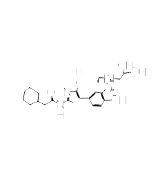 Cc1ccc(-c2sc(NC(=O)CC3CCCCC3)nc2C)cc1S(=O)(=O)NCC(C)C